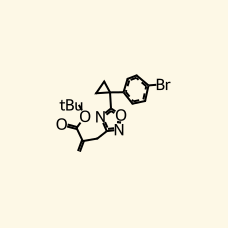 C=C(Cc1noc(C2(c3ccc(Br)cc3)CC2)n1)C(=O)OC(C)(C)C